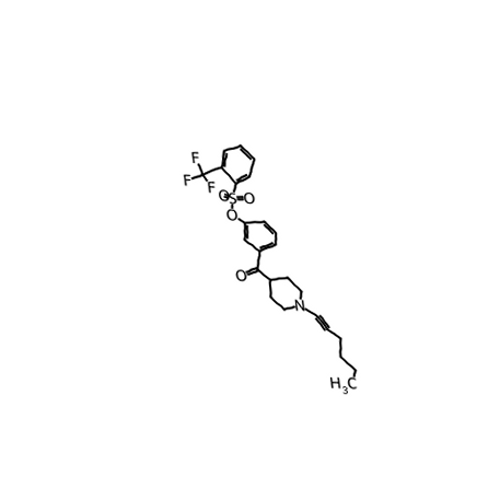 CCCCC#CN1CCC(C(=O)c2cccc(OS(=O)(=O)c3ccccc3C(F)(F)F)c2)CC1